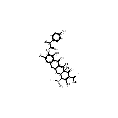 CN(C)[C@@H]1C(O)=C(C(N)=O)C(=O)[C@@]2(O)C(O)=C3C(=O)c4c(cc(Cl)c(NC(=O)C(Br)c5ccc(O)cc5)c4O)CC3CC12